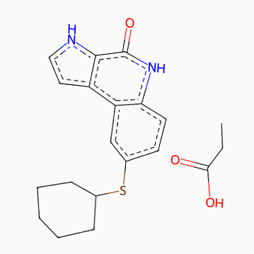 CCC(=O)O.O=c1[nH]c2ccc(SC3CCCCC3)cc2c2cc[nH]c12